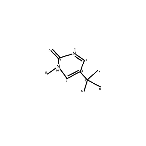 C=C1N=CC(C(C)(C)C)=CN1C